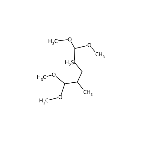 COC(OC)[SiH2]CC(C)C(OC)OC